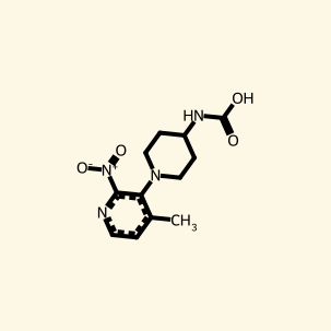 Cc1ccnc([N+](=O)[O-])c1N1CCC(NC(=O)O)CC1